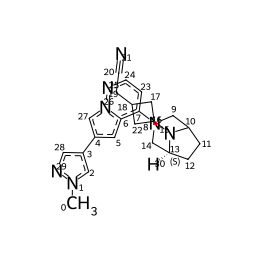 Cn1cc(-c2cc3c(N4CC5CC[C@@H](C4)N5C4CC(CC#N)C4)ccnn3c2)cn1